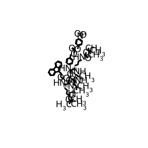 CC(C)[C@H](NC(=O)[C@H](CCCC(=O)OC(C)(C)C)NC(=O)OCC1c2ccccc2-c2ccccc21)C(=O)N[C@@H](C)C(=O)N[C@@H](CCCCNC(=O)OC(C)(C)C)C(=O)Nc1ccc(COC(=O)Oc2ccc([N+](=O)[O-])cc2)cc1